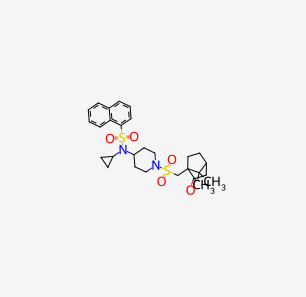 CC1(C)C2CCC1(CS(=O)(=O)N1CCC(N(C3CC3)S(=O)(=O)c3cccc4ccccc34)CC1)C(=O)C2